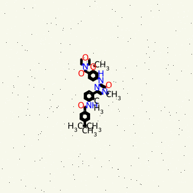 COc1cc(Nc2nc(-c3cccc(NC(=O)c4ccc(C(C)(C)C)cc4)c3C)cn(C)c2=O)ccc1C(=O)N1CCOCC1